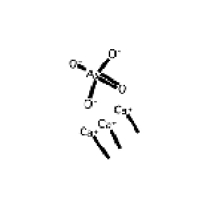 O=[As]([O-])([O-])[O-].[CH3][Ca+].[CH3][Ca+].[CH3][Ca+]